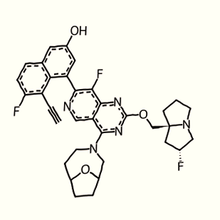 C#Cc1c(F)ccc2cc(O)cc(-c3ncc4c(N5CCC6CCC(C5)O6)nc(OC[C@@]56CCCN5C[C@H](F)C6)nc4c3F)c12